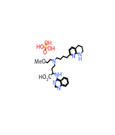 COCCN(CCCCc1ccc2c(n1)NCCC2)CCC(Nc1ncnc2ccccc12)C(=O)O.O=P(O)(O)O